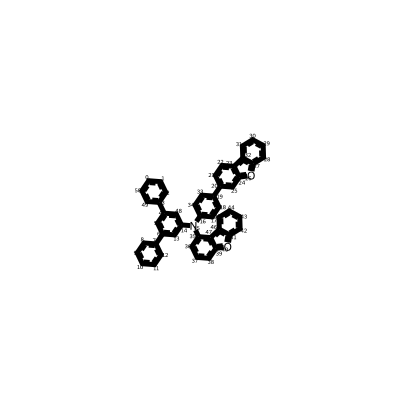 c1ccc(-c2cc(-c3ccccc3)cc(N(c3ccc(-c4ccc5c(c4)oc4ccccc45)cc3)c3cccc4oc5ccccc5c34)c2)cc1